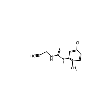 C#CCNC(=S)Nc1cc(Cl)ccc1C